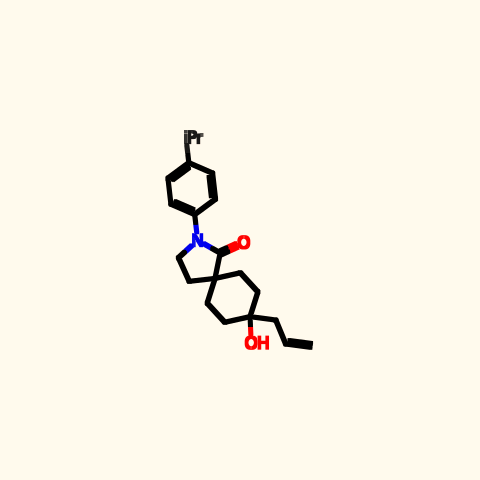 C=CCC1(O)CCC2(CCN(c3ccc(C(C)C)cc3)C2=O)CC1